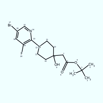 CC(C)(C)OC(=O)CC1(O)CCN(c2ncc(Br)cc2F)CC1